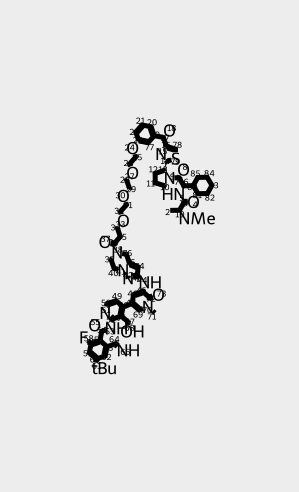 CN[C@H](C)C(=O)N[C@@H](C(=O)N1CCC[C@@H]1c1nc(C(=O)c2cccc(OCCOCCOCCOCCC(=O)N3CCn4nc(Nc5cc(-c6ccnc(NC(=O)c7c(F)cc(C(C)(C)C)cc7C=N)c6CO)cn(C)c5=O)cc4C3)c2)cs1)C1CCCCC1